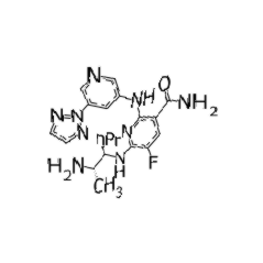 CCC[C@@H](Nc1nc(Nc2cncc(-n3nccn3)c2)c(C(N)=O)cc1F)[C@H](C)N